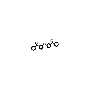 O=C(c1ccccc1)c1cc[c]c(Oc2[c]ccc(C(=O)c3ccccc3)c2)c1